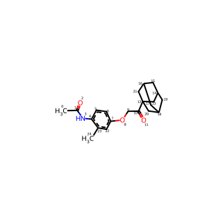 CC(=O)Nc1ccc(OCC(=O)C23CC4CC(CC(C4)C2)C3)cc1C